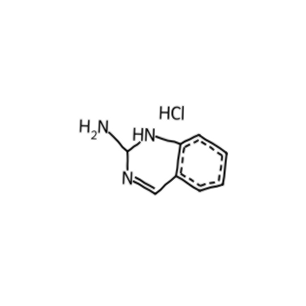 Cl.NC1N=Cc2ccccc2N1